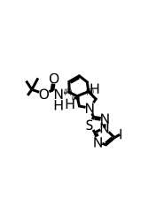 CC(C)(C)OC(=O)N[C@@H]1C=CC[C@@H]2CN(c3nn4c(I)cnc4s3)C[C@@H]21